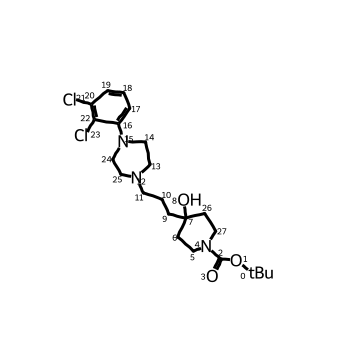 CC(C)(C)OC(=O)N1CCC(O)(CCCN2CCN(c3cccc(Cl)c3Cl)CC2)CC1